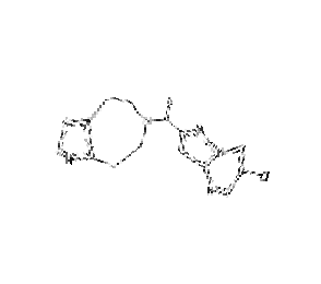 O=C(c1cc2ncc(Cl)cn2n1)N1CCc2ncsc2CC1